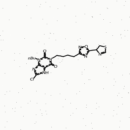 CCCCn1c(=O)n(CCCCc2noc(C3CSC=N3)n2)c(=O)c2[nH]c(Cl)nc21